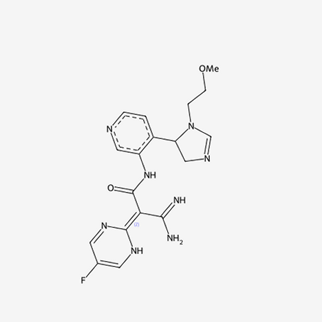 COCCN1C=NCC1c1ccncc1NC(=O)/C(C(=N)N)=C1\N=CC(F)=CN1